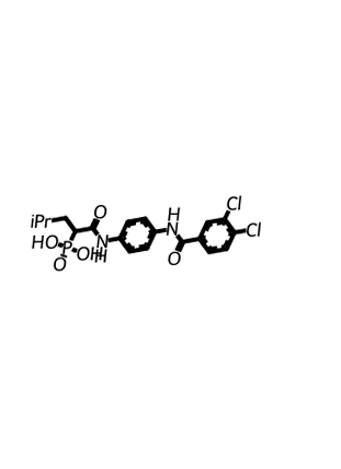 CC(C)CC(C(=O)Nc1ccc(NC(=O)c2ccc(Cl)c(Cl)c2)cc1)P(=O)(O)O